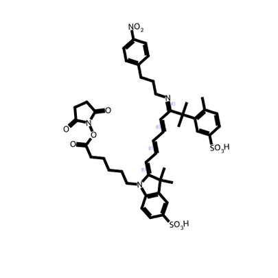 Cc1ccc(S(=O)(=O)O)cc1C(C)(C)C(/C=C/C=C/C=C1/N(CCCCCC(=O)ON2C(=O)CCC2=O)c2ccc(S(=O)(=O)O)cc2C1(C)C)=N/CCCc1ccc([N+](=O)[O-])cc1